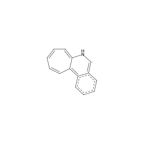 [C]1=c2ccccc2=C2C=CC=CC=C2N1